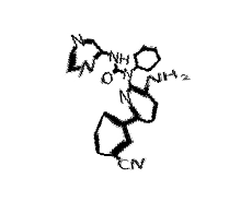 N#Cc1cccc(-c2ccc(N)c(N(C(=O)Nc3cnccn3)C3CCCCC3)n2)c1